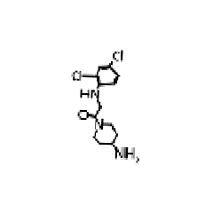 NC1CCN(C(=O)CNc2ccc(Cl)cc2Cl)CC1